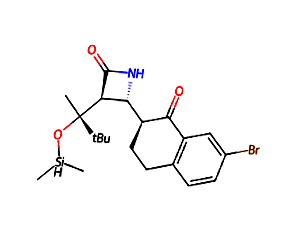 C[SiH](C)O[C@](C)([C@H]1C(=O)N[C@@H]1[C@@H]1CCc2ccc(Br)cc2C1=O)C(C)(C)C